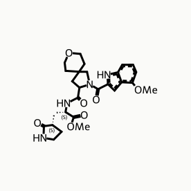 COC(=O)[C@H](C[C@@H]1CCNC1=O)NC(=O)C1CC2(CCOCC2)CN1C(=O)c1cc2c(OC)cccc2[nH]1